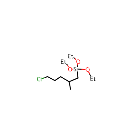 CCO[Si](CC(C)CCCCl)(OCC)OCC